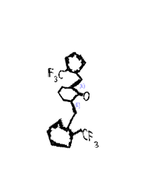 O=C1/C(=C/c2ccccc2C(F)(F)F)CCC/C1=C\c1ccccc1C(F)(F)F